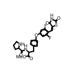 COC(=O)C(Cc1ccc(Oc2cc(F)c(/C=C3/SC(=O)NC3=O)c(F)c2)cc1)NC(=O)C1CCCN1